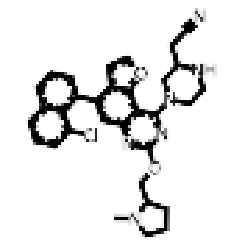 CN1CCCC1COc1nc(N2CCNC(CC#N)C2)c2c(cc(-c3cccc4cccc(Cl)c34)c3ccoc32)n1